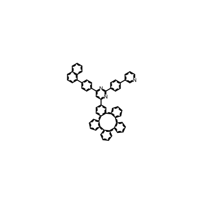 c1cncc(-c2ccc(-c3nc(-c4ccc(-c5cccc6ccccc56)cc4)cc(-c4ccc5c6ccccc6c6ccccc6c6ccccc6c6ccccc6c5c4)n3)cc2)c1